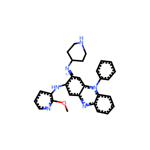 COc1ncccc1Nc1cc2nc3ccccc3n(-c3ccccc3)c-2c/c1=N\C1CCNCC1